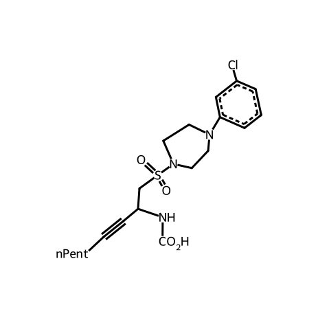 CCCCCC#CC(CS(=O)(=O)N1CCN(c2cccc(Cl)c2)CC1)NC(=O)O